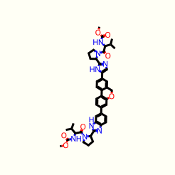 COC(=O)NC(C(=O)N1CCCC1c1ncc(-c2ccc3c(c2)COc2cc(-c4ccc5nc(C6CCCN6C(=O)C(NC(=O)OC)C(C)C)[nH]c5c4)ccc2-3)[nH]1)C(C)C